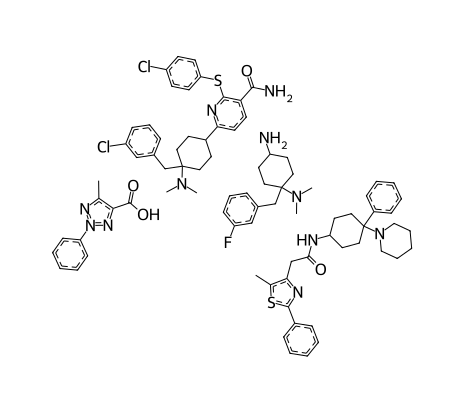 CN(C)C1(Cc2cccc(Cl)c2)CCC(c2ccc(C(N)=O)c(Sc3ccc(Cl)cc3)n2)CC1.CN(C)C1(Cc2cccc(F)c2)CCC(N)CC1.Cc1nn(-c2ccccc2)nc1C(=O)O.Cc1sc(-c2ccccc2)nc1CC(=O)NC1CCC(c2ccccc2)(N2CCCCC2)CC1